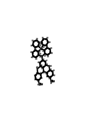 CC(C)(C)c1ccc2c(c1)B1c3cc(C(C)(C)C)ccc3Sc3cc(N4c5ccccc5[Si](c5ccccc5)(c5ccccc5)c5ccccc54)cc(c31)S2